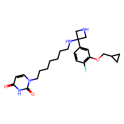 O=c1ccn(CCCCCCCNC2(c3ccc(F)c(OCC4CC4)c3)CNC2)c(=O)[nH]1